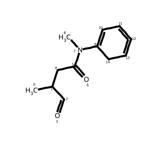 CC(C=O)CC(=O)N(C)C1=CC=C=CC1